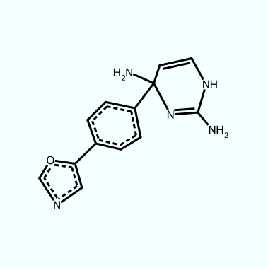 NC1=NC(N)(c2ccc(-c3cnco3)cc2)C=CN1